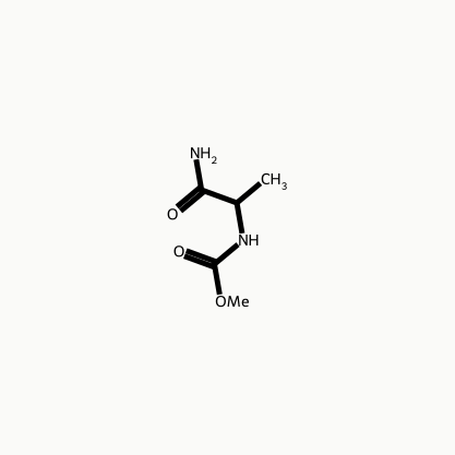 COC(=O)NC(C)C(N)=O